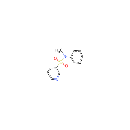 CN(c1ccccc1)S(=O)(=O)c1cccnc1